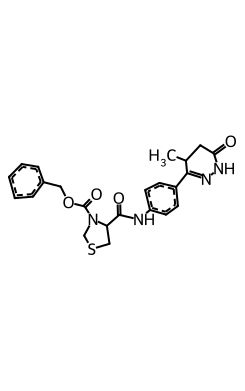 CC1CC(=O)NN=C1c1ccc(NC(=O)C2CSCN2C(=O)OCc2ccccc2)cc1